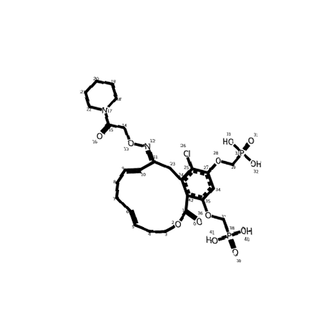 O=C1OCC/C=C/CC/C=C/C(=N\OCC(=O)N2CCCCC2)Cc2c(Cl)c(OCP(=O)(O)O)cc(OCP(=O)(O)O)c21